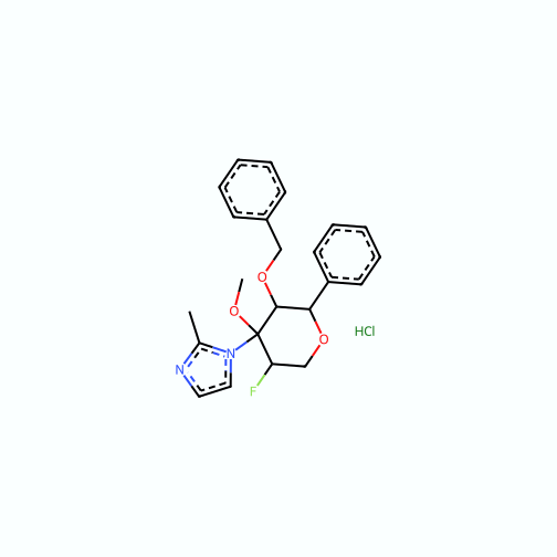 COC1(n2ccnc2C)C(F)COC(c2ccccc2)C1OCc1ccccc1.Cl